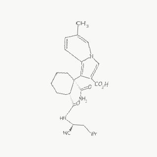 Cc1ccc2c([C@]3(C(N)=O)CCCC[C@H]3C(=O)N[C@H](C#N)CC(C)C)c(C(=O)O)cn2c1